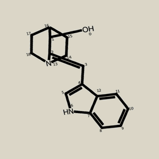 OC1C(=Cc2c[nH]c3ccccc23)N2CCC1CC2